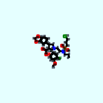 CCCN(CCN1CC(c2ccc3c(c2)OCO3)[C@H](C(=O)O)[C@H]1c1ccc(OC)c(F)c1)S(=O)(=O)CCCCl